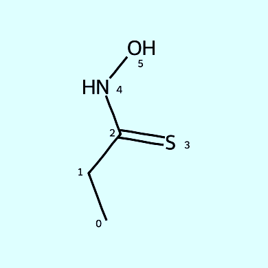 CCC(=S)NO